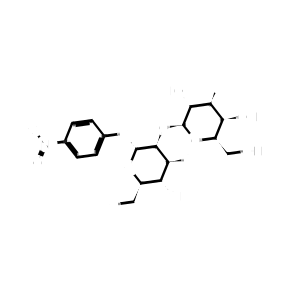 O=[N+]([O-])c1ccc(O[C@H]2O[C@H](CO)[C@@H](O)[C@H](O)[C@@H]2O[C@@H]2O[C@H](CO)[C@H](O)[C@H](O)[C@H]2O)cc1